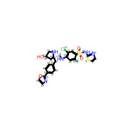 O=S(=O)(Nc1nccs1)c1cc(Cl)c(NC[C@]2(Cc3ccc(-c4ncco4)cc3)C[C@H](O)CN2)cc1F